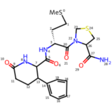 CSCC[C@@H](NC(=O)C1NC(=O)CCC1c1ccccc1)C(=O)N1CSCC1C(N)=O